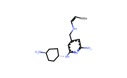 CN/C=C\NCc1cc(N)nc(N[C@H]2CC[C@H](N)CC2)c1